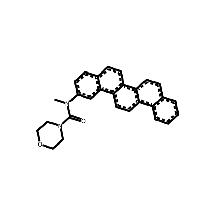 CN(C(=O)N1CCOCC1)c1ccc2ccc3c(ccc4c5ccccc5ccc43)c2c1